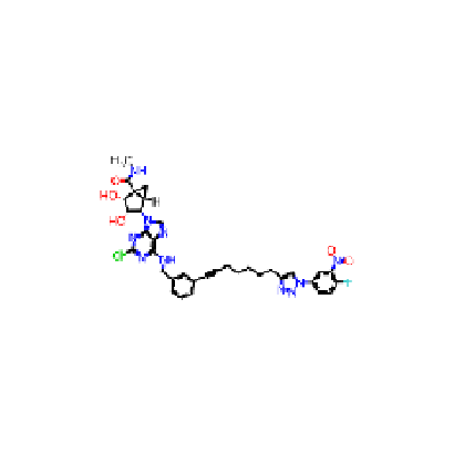 CNC(=O)[C@@]12C[C@@H]1[C@@H](n1cnc3c(NCc4cccc(C#CCCCCCc5cn(-c6ccc(F)c([N+](=O)[O-])c6)nn5)c4)nc(Cl)nc31)[C@H](O)[C@@H]2O